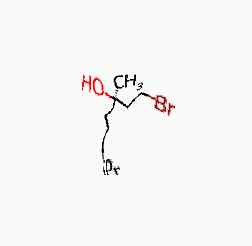 CC(C)CCC[C@@](C)(O)CCBr